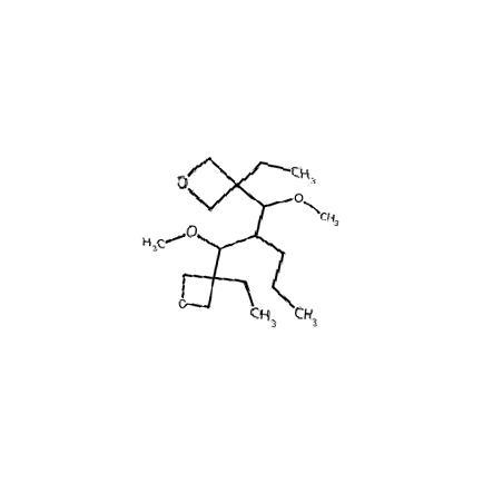 CCCC(C(OC)C1(CC)COC1)C(OC)C1(CC)COC1